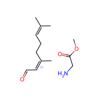 CC(C)=CCC/C(C)=C\C=O.COC(=O)CN